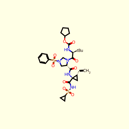 C=C[C@@H]1C[C@]1(NC(=O)[C@@H]1CN(S(=O)(=O)c2ccccc2)CN1C(=O)[C@@H](NC(=O)OC1CCCC1)C(C)(C)C)C(=O)NS(=O)(=O)C1CC1